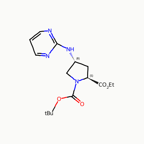 CCOC(=O)[C@@H]1C[C@@H](Nc2ncccn2)CN1C(=O)OC(C)(C)C